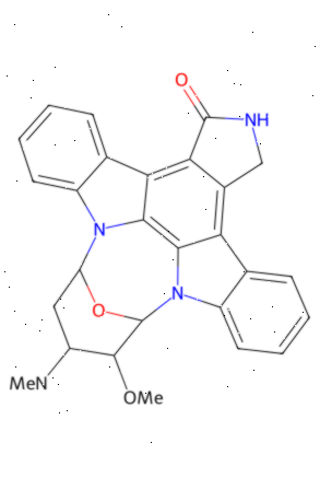 CNC1CC2OC(C1OC)n1c3ccccc3c3c4c(c5c6ccccc6n2c5c31)C(=O)NC4